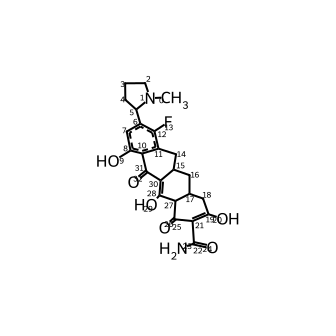 CN1CCCC1c1cc(O)c2c(c1F)CC1CC3CC(O)=C(C(N)=O)C(=O)C3C(O)=C1C2=O